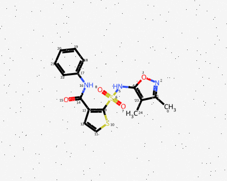 Cc1noc(NS(=O)(=O)c2sccc2C(=O)Nc2ccccc2)c1C